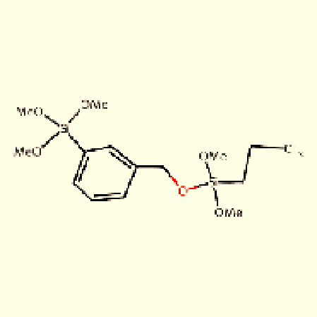 CO[Si](CCC(F)(F)F)(OC)OCc1cccc([Si](OC)(OC)OC)c1